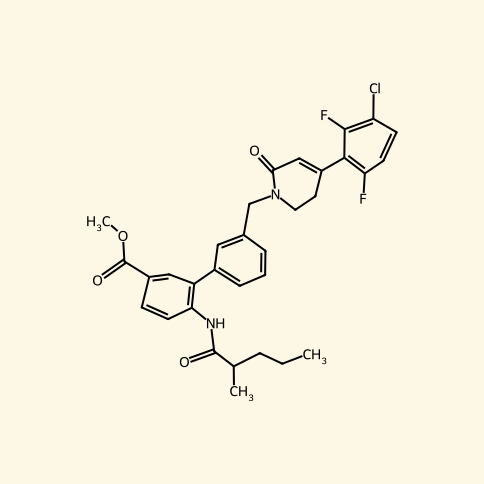 CCCC(C)C(=O)Nc1ccc(C(=O)OC)cc1-c1cccc(CN2CCC(c3c(F)ccc(Cl)c3F)=CC2=O)c1